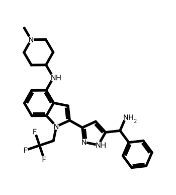 CN1CCC(Nc2cccc3c2cc(-c2cc(C(N)c4ccccc4)[nH]n2)n3CC(F)(F)F)CC1